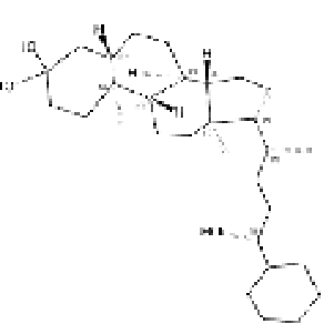 C[C@H](CC[C@@H](O)C1CCCCC1)[C@H]1CC[C@H]2[C@@H]3CC[C@H]4CC(O)(O)CC[C@]4(C)[C@H]3CC[C@]12C